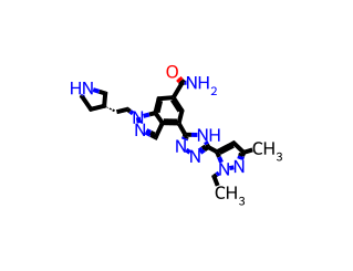 CCn1nc(C)cc1-c1nnc(-c2cc(C(N)=O)cc3c2cnn3CC[C@@H]2CCNC2)[nH]1